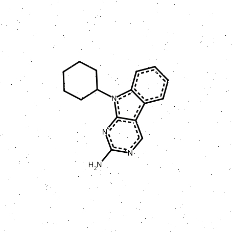 Nc1ncc2c3ccccc3n(C3CCCCC3)c2n1